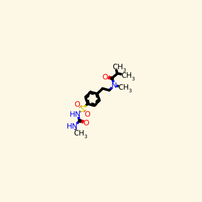 CNC(=O)NS(=O)(=O)c1ccc(CCN(C)C(=O)C(C)C)cc1